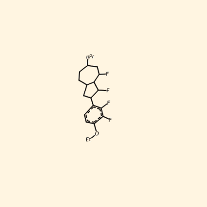 CCCC1CCC2CC(c3ccc(OCC)c(F)c3F)C(F)C2C(F)C1